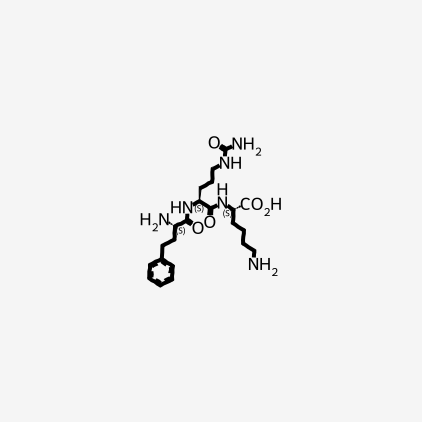 NCCCC[C@H](NC(=O)[C@H](CCCNC(N)=O)NC(=O)[C@@H](N)CCc1ccccc1)C(=O)O